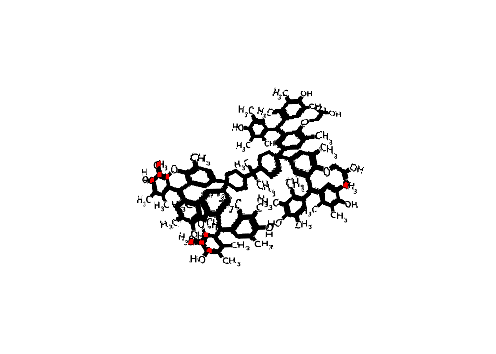 Cc1cc(C(c2cc(C)c(O)c(C)c2C)c2cc(C3(c4cc(C)c(OCC(=O)O)c(C(c5cc(C)c(O)c(C)c5C)c5cc(C)c(O)c(C)c5C)c4)CCC(C(C)(C)C4CCC(c5cc(C)c(OCC(=O)O)c(C(c6cc(C)c(O)c(C)c6C)c6cc(C)c(O)c(C)c6C)c5)(c5cc(C)c(OCC(=O)O)c(C(c6cc(C)c(O)c(C)c6C)c6cc(C)c(O)c(C)c6C)c5)CC4)CC3)cc(C)c2OCC(=O)O)c(C)c(C)c1O